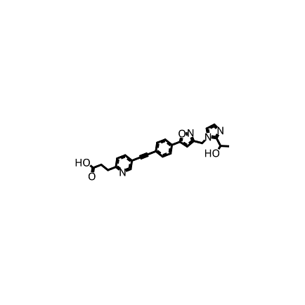 CC(O)c1nccn1Cc1cc(-c2ccc(C#Cc3ccc(CCC(=O)O)nc3)cc2)on1